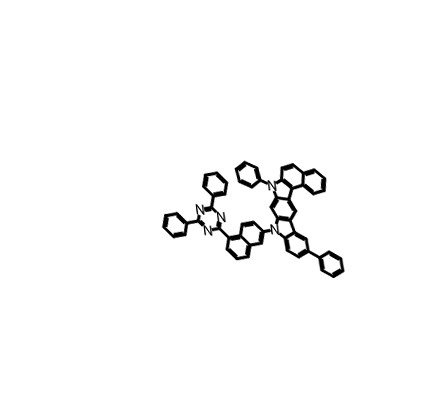 c1ccc(-c2ccc3c(c2)c2cc4c5c6ccccc6ccc5n(-c5ccccc5)c4cc2n3-c2ccc3c(-c4nc(-c5ccccc5)nc(-c5ccccc5)n4)cccc3c2)cc1